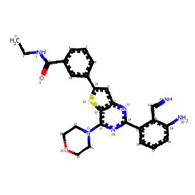 CCNC(=O)c1cccc(-c2cc3nc(-c4cccc(N)c4C=N)nc(N4CCOCC4)c3s2)c1